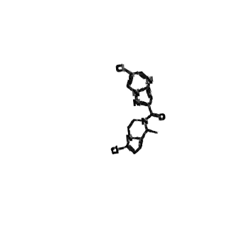 CC1c2ccc(Cl)n2CCN1C(=O)c1cc2ncc(Cl)cn2n1